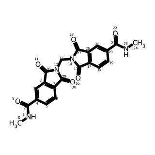 CNC(=O)c1ccc2c(c1)C(=O)N(CN1C(=O)c3ccc(C(=O)NC)cc3C1=O)C2=O